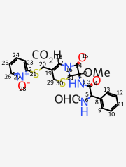 COC1(NC(=O)C(NC=O)c2ccccc2)C(=O)N2C(C(=O)O)=C(CSc3cccc[n+]3[O-])CSC21